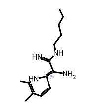 CCCCCNC(=N)/C(N)=C1/C=CC(C)=C(C)N1